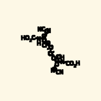 Cc1c(COc2cc(OCc3cncc(C#N)c3)c(CNCCC(=O)O)cc2Cl)cccc1-c1cccc(COc2cc(OCc3cncc(C#N)c3)c(CNCCC(=O)O)cc2Cl)c1C